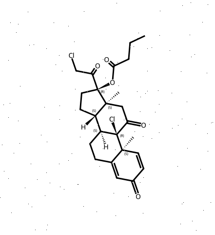 CCCC(=O)O[C@]1(C(=O)CCl)CC[C@H]2[C@@H]3CCC4=CC(=O)C=C[C@]4(C)[C@@]3(Cl)C(=O)C[C@@]21C